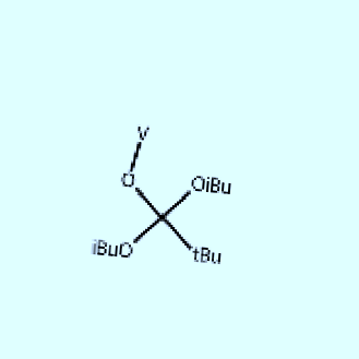 CC(C)COC([O][V])(OCC(C)C)C(C)(C)C